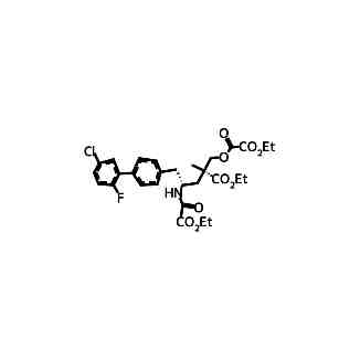 CCOC(=O)C(=O)N[C@H](Cc1ccc(-c2cc(Cl)ccc2F)cc1)C[C@@](C)(COC(=O)C(=O)OCC)C(=O)OCC